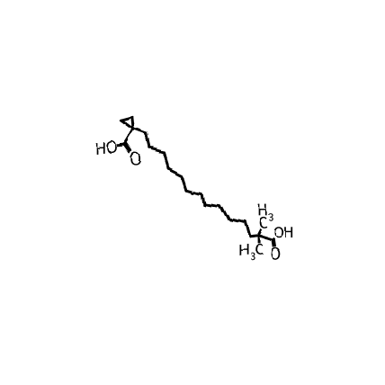 CC(C)(CCCCCCCCCCCCC1(C(=O)O)CC1)C(=O)O